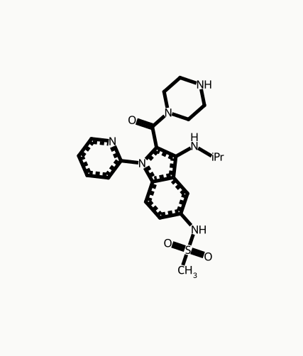 CC(C)Nc1c(C(=O)N2CCNCC2)n(-c2ccccn2)c2ccc(NS(C)(=O)=O)cc12